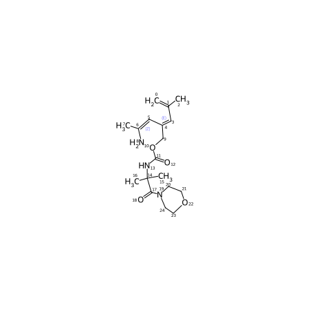 C=C(C)/C=C(\C=C(\C)N)COC(=O)NC(C)(C)C(=O)N1CCOCC1